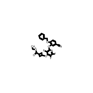 CCOC(=O)C1CC(Oc2c(F)c(F)nc(Oc3cc(C#N)ccc3OCc3ccccc3)c2F)C1